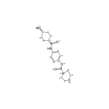 CC(C)(C)[C@H]1CC[C@@H](C(=O)Nc2ccc(OC(=O)N3CCOCC3)cc2)CC1